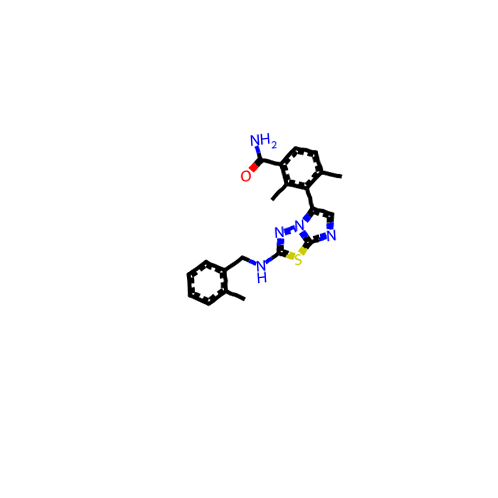 Cc1ccccc1CNc1nn2c(-c3c(C)ccc(C(N)=O)c3C)cnc2s1